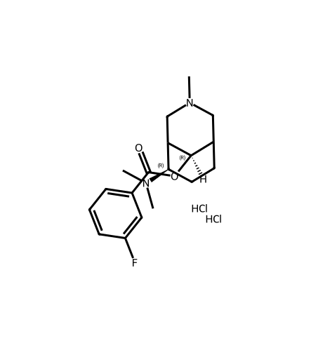 CN1CC2CC[C@@H](N(C)C)C(C1)[C@@H]2OC(=O)c1cccc(F)c1.Cl.Cl